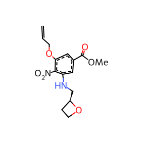 C=CCOc1cc(C(=O)OC)cc(NC[C@@H]2CCO2)c1[N+](=O)[O-]